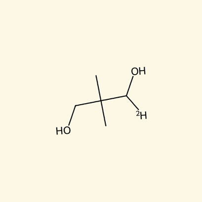 [2H]C(O)C(C)(C)CO